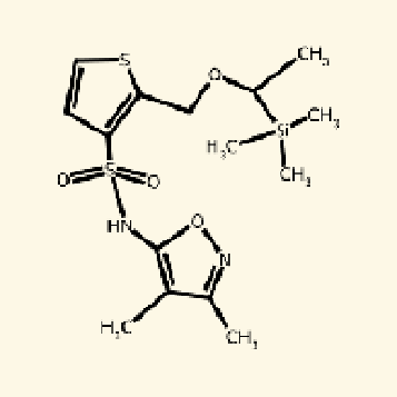 Cc1noc(NS(=O)(=O)c2ccsc2COC(C)[Si](C)(C)C)c1C